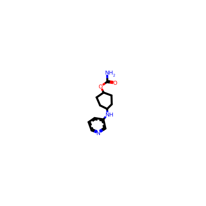 NC(=O)OC1CCC(Nc2cccnc2)CC1